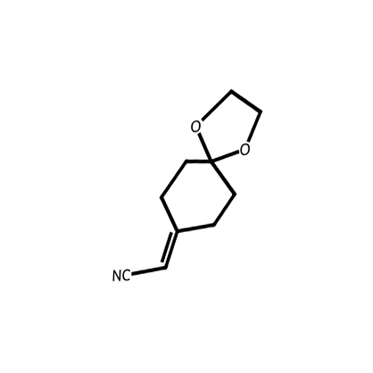 N#CC=C1CCC2(CC1)OCCO2